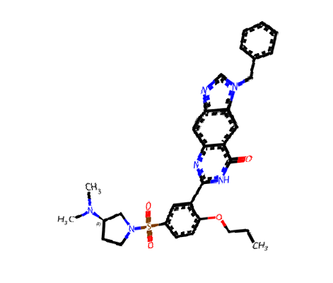 CCCOc1ccc(S(=O)(=O)N2CC[C@@H](N(C)C)C2)cc1-c1nc2cc3ncn(Cc4ccccc4)c3cc2c(=O)[nH]1